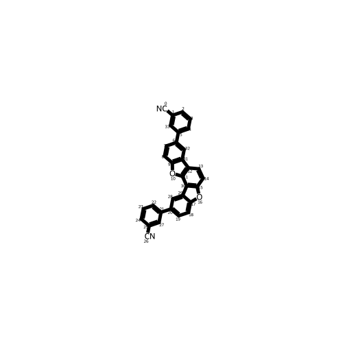 N#Cc1cccc(-c2ccc3oc4c(ccc5oc6ccc(-c7cccc(C#N)c7)cc6c54)c3c2)c1